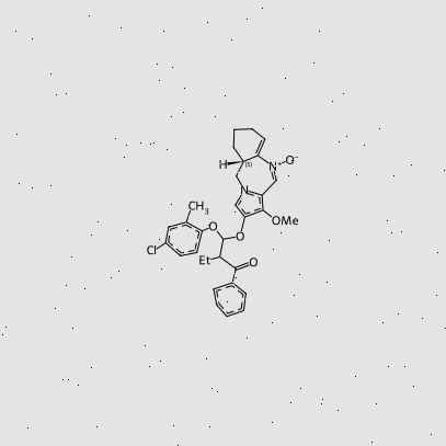 CCC(C(=O)c1ccccc1)C(Oc1ccc(Cl)cc1C)Oc1cn2c(c1OC)C=[N+]([O-])C1=CCCC[C@H]1C2